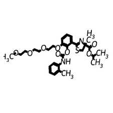 COCCOCCOCCOc1cccc(C2=NC(C)(C(=O)OC(C)C)CS2)c1OC(=O)Nc1ccccc1C